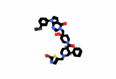 COc1cccc(-n2ccc3c(=O)n(CC4(O)CCN(C(=O)[C@@H]5CCN(Cc6cnc(Br)s6)C[C@H]5c5ccccc5)CC4)cnc32)c1